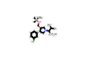 CCC(CC)C(C(=O)O)N1C[C@H](CO[Si](C)(C)C(C)(C)C)[C@@H](c2cccc(F)c2)C1